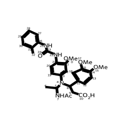 COc1cc(N(C(C)NC(C)=O)C(CC(=O)O)c2ccc(OC)c(OC)c2)ccc1NC(=O)Nc1ccccc1C